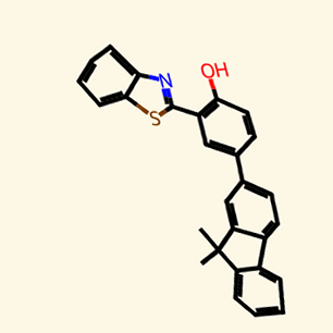 CC1(C)c2ccccc2-c2ccc(-c3ccc(O)c(-c4nc5ccccc5s4)c3)cc21